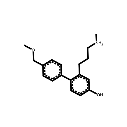 COCc1ccc(-c2ccc(O)cc2CCC[SiH2]I)cc1